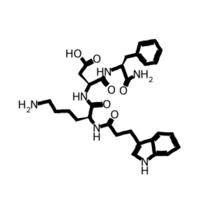 NCCCC[C@H](NC(=O)CCc1c[nH]c2ccccc12)C(=O)N[C@@H](CC(=O)O)C(=O)N[C@@H](Cc1ccccc1)C(N)=O